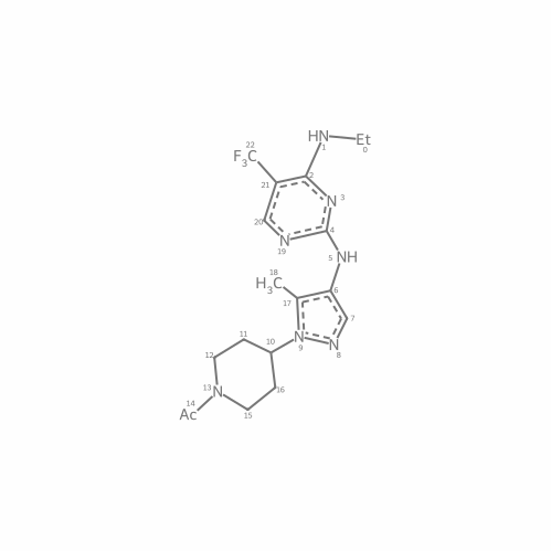 CCNc1nc(Nc2cnn(C3CCN(C(C)=O)CC3)c2C)ncc1C(F)(F)F